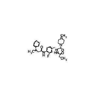 CCC(=O)N[C@H](Cc1ccc(NC(=O)C[C@@H](C)c2ccccc2)c(F)c1)C(=O)N1CCN(C)CC1